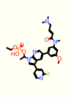 CCOP(=O)(O)OC(C)n1cc(-c2ccnc(F)c2)c2cc(-c3cc(OC)cc(N(C)C(=O)/C=C/CN(C)C)c3)cnc21